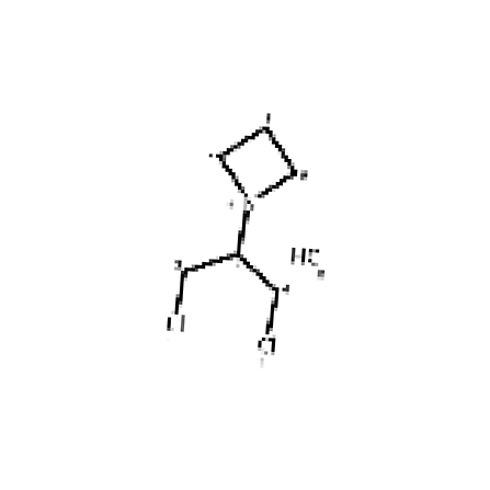 Cl.ClCC(CCl)N1CCC1